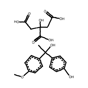 COc1ccc(C(C)(O)c2ccc(O)cc2)cc1.O=C(O)CC(O)(CC(=O)O)C(=O)O